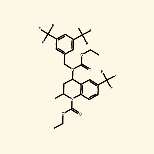 CCOC(=O)N(Cc1cc(C(F)(F)F)cc(C(F)(F)F)c1)C1CC(C)N(C(=O)OCC)c2ccc(C(F)(F)F)cc21